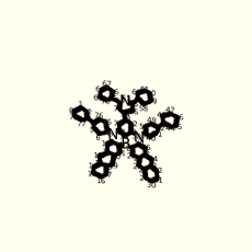 c1ccc(-c2ccc(N3c4cc5cc6ccccc6cc5cc4B4c5cc6cc7ccccc7cc6cc5N(c5ccc(-c6ccccc6)cc5)c5cc(-c6cc(-c7ccccc7)nc(-c7ccccc7)c6)cc3c54)cc2)cc1